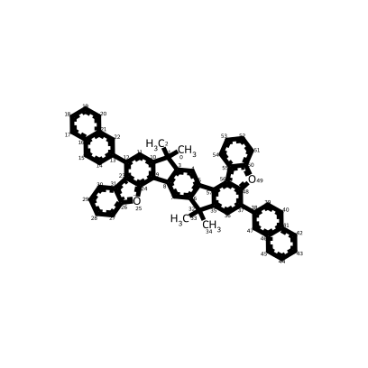 CC1(C)c2cc3c(cc2-c2c1cc(-c1ccc4ccccc4c1)c1c2oc2ccccc21)C(C)(C)c1cc(-c2ccc4ccccc4c2)c2oc4ccccc4c2c1-3